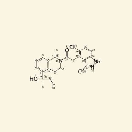 C[C@H]1c2cccc([C@](C)(O)CF)c2CCN1C(=O)Cc1c(Cl)ccc2[nH]nc(Cl)c12